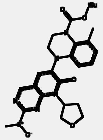 Cc1cccc2c1N(C(=O)OC(C)(C)C)CCN2c1cc2cnc([S+](C)[O-])nc2n(C2CCOC2)c1=O